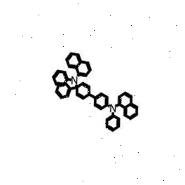 C1=CC(c2ccccc2)(N(c2ccccc2)c2cccc3ccccc23)C=CC1c1ccc(N(c2ccccc2)c2cccc3ccccc23)cc1